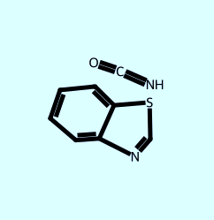 N=C=O.c1ccc2scnc2c1